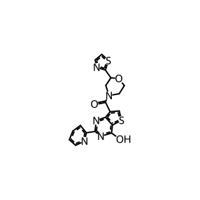 O=C(c1csc2c(O)nc(-c3ccccn3)nc12)N1CCOC(c2nccs2)C1